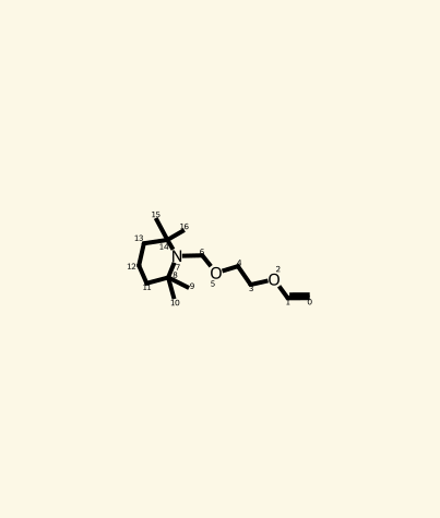 C=COCCOCN1C(C)(C)CCCC1(C)C